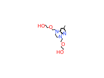 Cc1cnc2c(c1)N(CCOCCO)CCN2CCOCCO